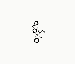 COc1c(N(C)C(=O)N(C)c2ccccc2)ccc(Oc2ccccc2)c1C